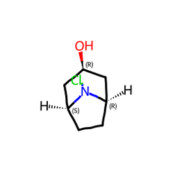 O[C@H]1C[C@H]2CC[C@@H](C1)N2Cl